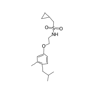 Cc1cc(OCCNS(=O)(=O)CC2CC2)ccc1CC(C)C